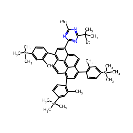 CCC(C)(C)c1nc(-c2cc(-c3ccc([Si](C)(C)C)cc3C)c3ccc4c(-c5ccc([Si](C)(C)C)cc5C)cc(-c5ccc([Si](C)(C)C)cc5C)c5ccc2c3c54)nc(C(C)(C)C)n1